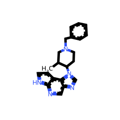 CC1CN(Cc2ccccc2)CCC1n1cnc2cnc3[nH]ccc3c21